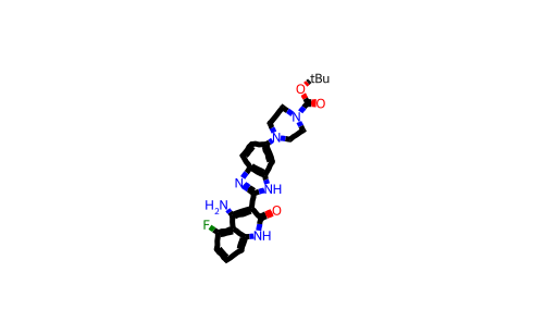 CC(C)(C)OC(=O)N1CCN(c2ccc3nc(-c4c(N)c5c(F)cccc5[nH]c4=O)[nH]c3c2)CC1